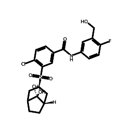 C[C@@]1(O)C2CC[C@H]1C[C@H](S(=O)(=O)c1cc(C(=O)Nc3ccc(F)c(CO)c3)ccc1Cl)C2